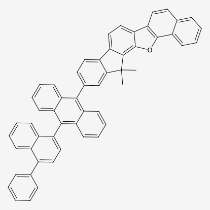 CC1(C)c2cc(-c3c4ccccc4c(-c4ccc(-c5ccccc5)c5ccccc45)c4ccccc34)ccc2-c2ccc3c(oc4c5ccccc5ccc34)c21